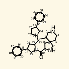 CC1CNCCC12CNC(C(=O)N1CC(c3ccccc3)CC1CN1CCC(c3ccccc3)C1)C2